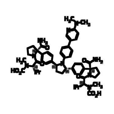 CC(C)[C@@H](C(=O)N1CCC[C@@]1(C(N)=O)c1ccc([C@@H]2CC[C@@H](c3ccc([C@]4(C(N)=O)CCCN4C(=O)[C@H](C(C)C)N(C)C(=O)O)cc3)N2c2ccc(-c3ccc(N(C)C)nc3)cc2)cc1)N(C)C(=O)O